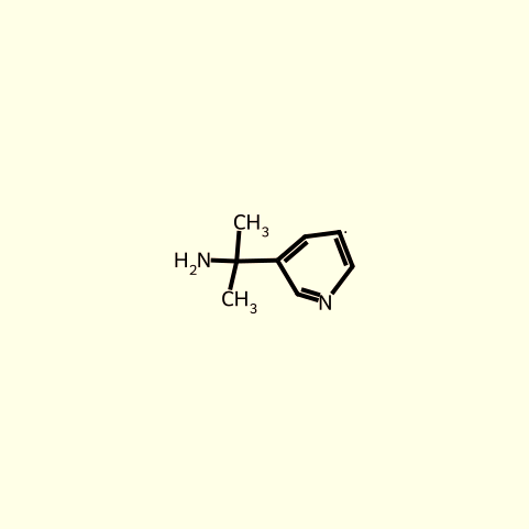 CC(C)(N)c1c[c]cnc1